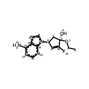 CCO[C@]1(O)C[C@H](n2cnc3c(N)ncnc32)C=C1F